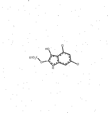 CCOC(=O)Oc1[nH]c2cc(Cl)cc(Cl)c2c1O